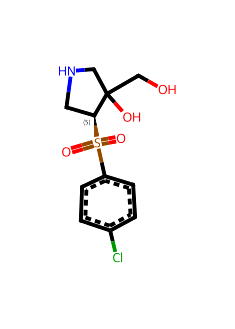 O=S(=O)(c1ccc(Cl)cc1)[C@H]1CNCC1(O)CO